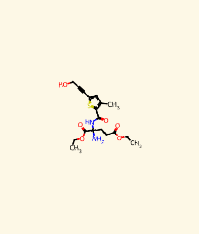 CCOC(=O)CCC(N)(NC(=O)c1sc(C#CCO)cc1C)C(=O)OCC